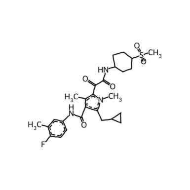 Cc1cc(NC(=O)c2c(C)c(C(=O)C(=O)NC3CCC(S(C)(=O)=O)CC3)n(C)c2CC2CC2)ccc1F